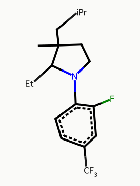 CCC1N(c2ccc(C(F)(F)F)cc2F)CCC1(C)CC(C)C